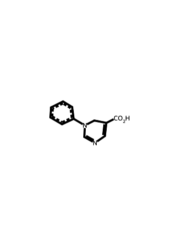 O=C(O)C1=CN=CN(c2ccccc2)C1